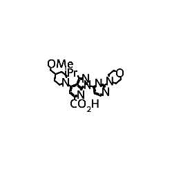 COCC1CCN(c2cc(C(=O)O)nc3c2c(C(C)C)nn3-c2ccnc(N3CCOCC3)n2)CC1